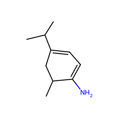 CC(C)C1=CC=C(N)C(C)C1